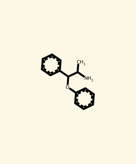 CC(N)C(Oc1ccccc1)c1ccccc1